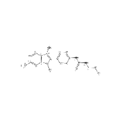 CCn1c(-c2ccc(NC(=O)NCCCl)cc2)c(C#N)c2ccc(C)cc21